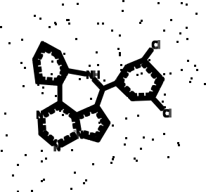 Clc1cc(Cl)cc(C2Nc3ccccc3-c3ncnn4ccc2c34)c1